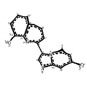 CCc1ccn2c(-c3ccc4cccc(O)c4n3)cnc2c1